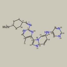 CNC1CCC(/C=N\c2ncc(C)c(-c3cnc4ccc(Nc5cncnc5)cn34)n2)CC1